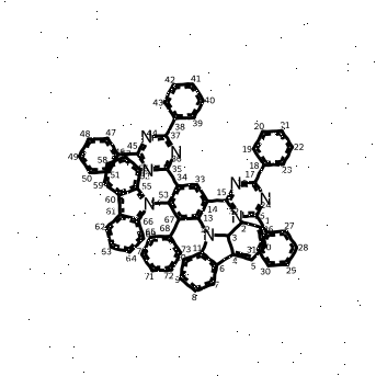 C1=CCC2C(=C1)c1ccccc1N2c1c(-c2nc(-c3ccccc3)nc(-c3ccccc3)n2)cc(-c2nc(-c3ccccc3)nc(-c3ccccc3)n2)c(-n2c3ccccc3c3ccccc32)c1-c1ccccc1